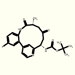 C[C@@H]1CC(=O)C[C@H](NC(=O)OC(C)(C)C)c2cc(ccn2)-c2cc(F)ccc2NC1=O